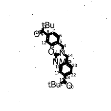 CNC(=O)N(Cc1ccc(C(=O)C(C)(C)C)cc1)Cc1ccc(C(=O)C(C)(C)C)cc1